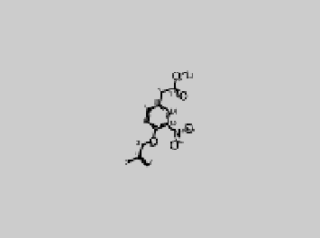 C=C(C)COc1ccc(CC(=O)OC)cc1[N+](=O)[O-]